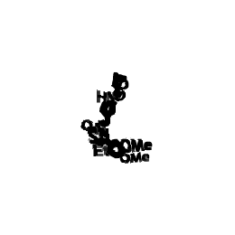 CCC1SC(=O)N(CCc2ccc(NC(=O)c3ccco3)cc2)N=C1c1ccc(OC)c(OC)c1